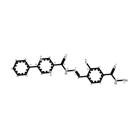 O=C(NO)c1ccc(/C=N/NC(=O)c2cnc(-c3ccccc3)cn2)c(F)c1